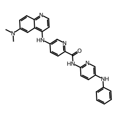 CN(C)c1ccc2nccc(Nc3ccc(C(=O)Nc4ccc(Nc5ccccc5)cn4)nc3)c2c1